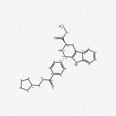 COC(=O)[C@H]1Cc2c([nH]c3ccccc23)[C@H](c2ccc(C(=O)OCC3CCCC3)cc2)N1